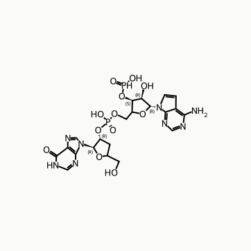 Nc1ncnc2c1ccn2[C@@H]1OC(COP(=O)(O)O[C@@H]2CC(CO)O[C@H]2n2cnc3c(=O)[nH]cnc32)[C@@H](O[PH](=O)O)[C@H]1O